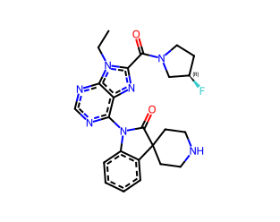 CCn1c(C(=O)N2CC[C@@H](F)C2)nc2c(N3C(=O)C4(CCNCC4)c4ccccc43)ncnc21